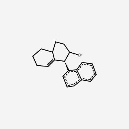 OC1CCC2CCCC=C2[C@@H]1c1cccc2ccccc12